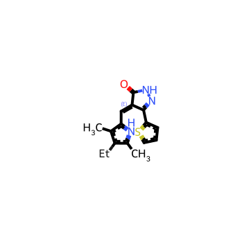 CCc1c(C)[nH]c(/C=C2/C(=O)NN=C2c2cccs2)c1C